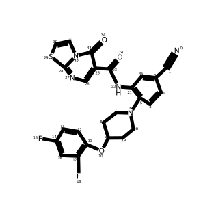 N#Cc1ccc(N2CCC(Oc3ccc(F)cc3F)CC2)c(NC(=O)c2cnc3sccn3c2=O)c1